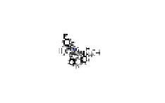 CCNc1ccc(C#N)cc1N=C1S/C(=C2\Sc3cc(F)ccc3N2C)C(=O)N1Cc1ccccc1